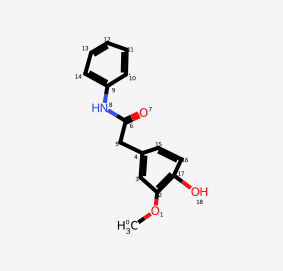 COc1cc(CC(=O)Nc2[c]cccc2)ccc1O